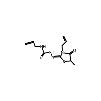 C=CCNC(=S)NN=C1SC(C)C(=O)N1CC=C